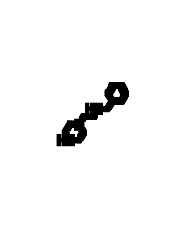 c1ccc(CNCCN2CCNCC2)cc1